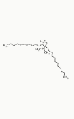 C=CC(CCCCCCCCCCCC)(CCCCCCCCCCCC)N(C)C